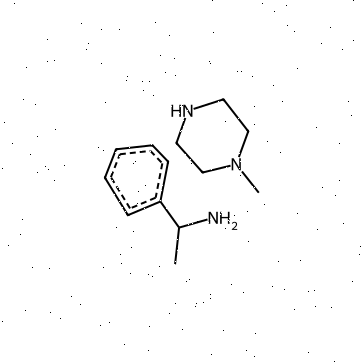 CC(N)c1ccccc1.CN1CCNCC1